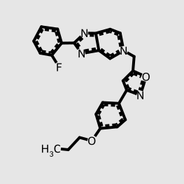 CCCOc1ccc(-c2cc(Cn3ccc4nc(-c5ccccc5F)nc-4c3)on2)cc1